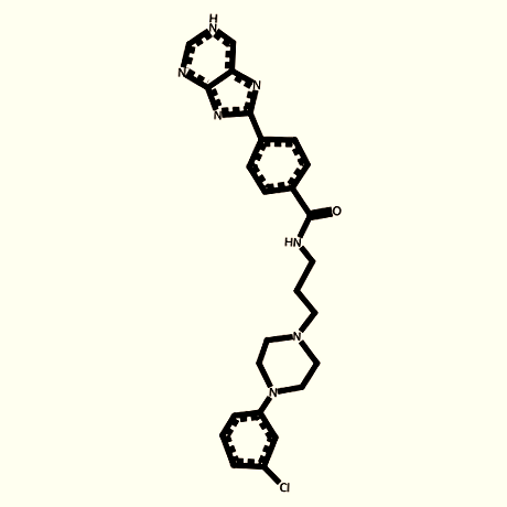 O=C(NCCCN1CCN(c2cccc(Cl)c2)CC1)c1ccc(-c2nc3c[nH]cnc-3n2)cc1